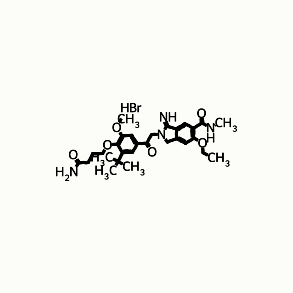 Br.CCOc1cc2c(cc1C(=O)NC)C(=N)N(CC(=O)c1cc(OC)c(OCCCC(N)=O)c(C(C)(C)C)c1)C2